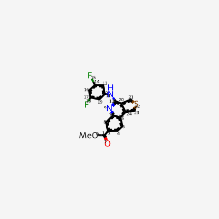 COC(=O)c1ccc2c(c1)nc(Nc1cc(F)cc(F)c1)c1cscc12